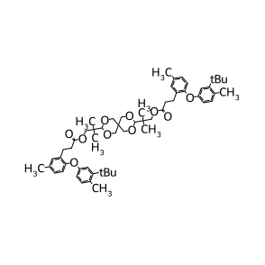 Cc1ccc(Oc2ccc(C)c(C(C)(C)C)c2)c(CCC(=O)OCC(C)(C)C2OCC3(CO2)COC(C(C)(C)COC(=O)CCc2cc(C)ccc2Oc2ccc(C)c(C(C)(C)C)c2)OC3)c1